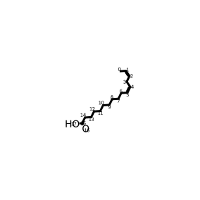 C/C=C\C/C=C\CCCCCCCCCC(=O)O